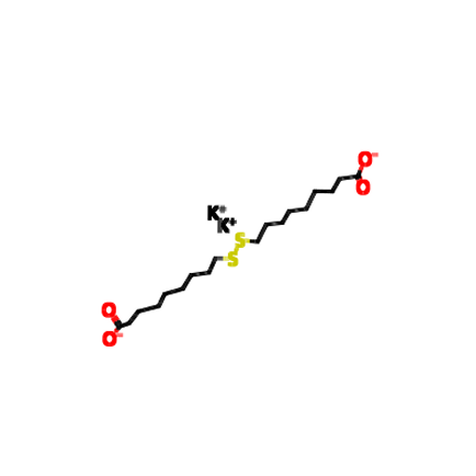 O=C([O-])CCCCCCCCSSCCCCCCCCC(=O)[O-].[K+].[K+]